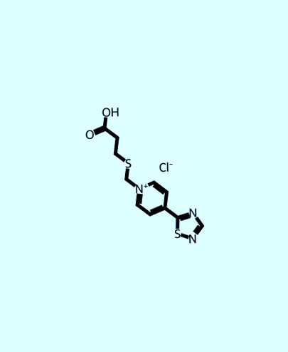 O=C(O)CCSC[n+]1ccc(-c2ncns2)cc1.[Cl-]